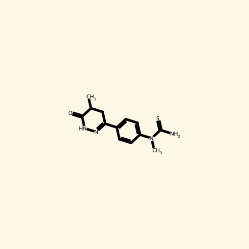 CC1CC(c2ccc(N(C)C(N)=S)cc2)=NNC1=O